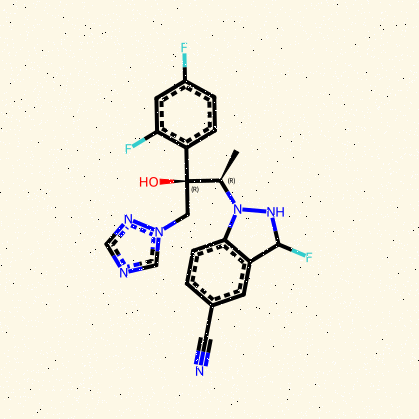 C[C@@H](N1NC(F)c2cc(C#N)ccc21)[C@](O)(Cn1cncn1)c1ccc(F)cc1F